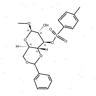 CO[C@@H]1O[C@@H]2COC(c3ccccc3)O[C@H]2[C@H](OS(=O)(=O)c2ccc(C)cc2)[C@H]1O